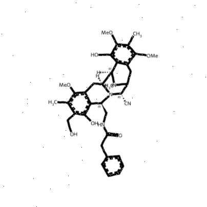 COc1c(C)c(OC)c2c(c1O)[C@@H]1[C@@H]3Cc4c(OC)c(C)c(CO)c(O)c4[C@H](CNC(=O)Cc4ccccc4)N3[C@@H](C#N)C(C2)N1C